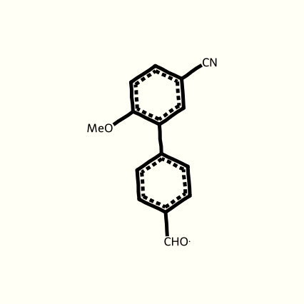 COc1ccc(C#N)cc1-c1ccc([C]=O)cc1